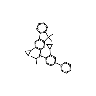 CC(C)N(c1ccc(-c2ccccc2)cc1C1CC1)c1cc2c(cc1C1CC1)-c1ccccc1C2(C)C